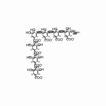 O=C([O-])c1cc(O)c(O)c(O)c1.O=C([O-])c1cc(O)c(O)c(O)c1.O=C([O-])c1cc(O)c(O)c(O)c1.O=C([O-])c1cc(O)c(O)c(O)c1.O=C([O-])c1cc(O)c(O)c(O)c1.O=C([O-])c1cc(O)c(O)c(O)c1.O=C([O-])c1cc(O)c(O)c(O)c1.[Bi+3].[Zr+4]